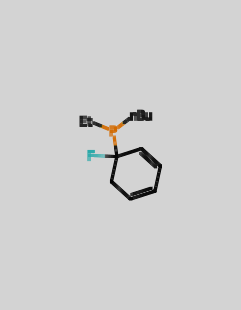 CCCCP(CC)C1(F)C=CC=CC1